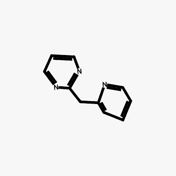 c1ccc(Cc2ncccn2)nc1